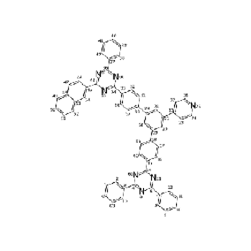 c1ccc(-c2nc(-c3ccccc3)nc(-c3ccc(-c4cc(-c5ccncc5)cc(-c5ccc(-c6nc(-c7ccccc7)nc(-c7ccc8ccccc8c7)n6)cc5)c4)cc3)n2)cc1